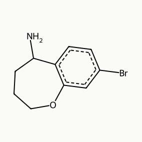 NC1CCCOc2cc(Br)ccc21